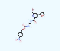 O=C(NCCNC(=O)c1cc(-c2ccco2)cc(CBr)n1)OCc1ccc([N+](=O)[O-])cc1